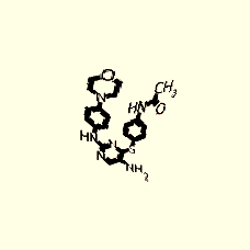 CC(=O)Nc1ccc(Sc2nc(Nc3ccc(N4CCOCC4)cc3)ncc2N)cc1